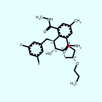 CCCO[C@H]1CN[C@@H]([C@H](O)[C@@H](Cc2cc(F)cc(F)c2)c2c(C(N)=O)cc(C)cc2C(=O)NC)C1